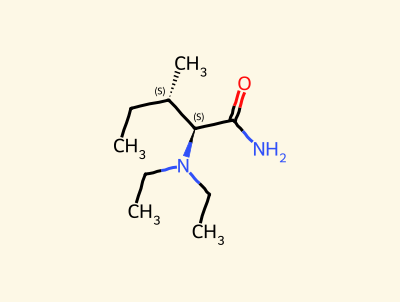 CC[C@H](C)[C@@H](C(N)=O)N(CC)CC